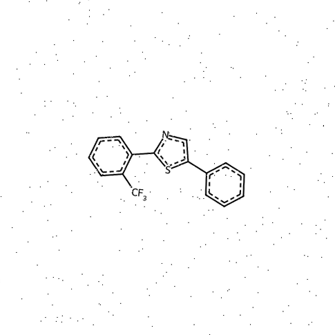 FC(F)(F)c1ccccc1-c1n[c]c(-c2ccccc2)s1